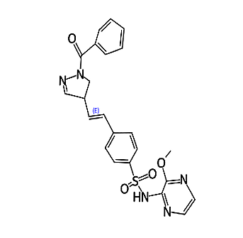 COc1nccnc1NS(=O)(=O)c1ccc(/C=C/C2C=NN(C(=O)c3ccccc3)C2)cc1